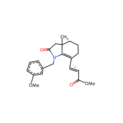 COC(=O)/C=C/C1=C2N(Cc3cccc(OC)c3)C(=O)CC2(C)CCC1